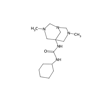 CN1CN2CN(C)CC(NC(=O)NC3CCCCC3)(C1)C2